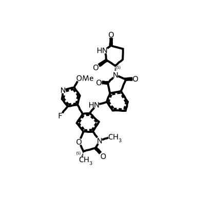 COc1cc(-c2cc3c(cc2Nc2cccc4c2C(=O)N([C@H]2CCC(=O)NC2=O)C4=O)N(C)C(=O)[C@H](C)O3)c(F)cn1